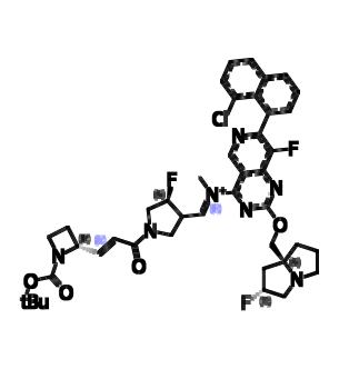 C/[N+](=C\C1CN(C(=O)/C=C/[C@H]2CCN2C(=O)OC(C)(C)C)C[C@H]1F)c1nc(OC[C@@]23CCCN2C[C@H](F)C3)nc2c(F)c(-c3cccc4cccc(Cl)c34)ncc12